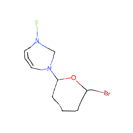 FN1C=CN(C2CCCC(Br)O2)C1